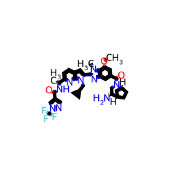 COc1cc(C(=O)N2C[C@H](N)[C@@H]3CC[C@H]2C3)cc2nc(-c3cc4ccc([C@@H](C)NC(=O)c5cnn(C(F)(F)F)c5)nc4n3CC3CC3)n(C)c12